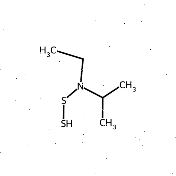 CCN(SS)C(C)C